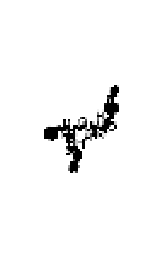 CCCOc1ccc(CCC(=O)C(CS)NC(=O)CNC(=O)CCNC(=O)C(Cc2ccccc2)NC(=O)CNC(=O)CC(C)(C)CCC(C)C)cc1